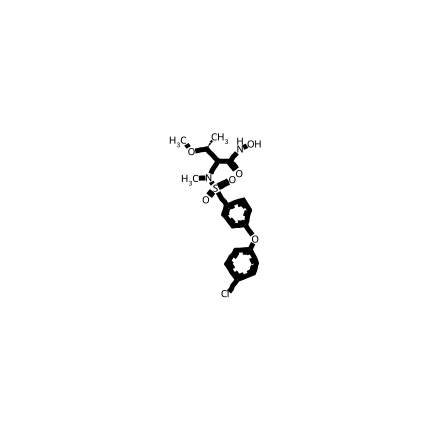 CO[C@H](C)C(C(=O)NO)N(C)S(=O)(=O)c1ccc(Oc2ccc(Cl)cc2)cc1